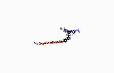 COCCOCCOCCOCCOCCOCCOCCOc1ccc(-c2ccnc(C(=O)Nc3cc(CN4CCC[C@H](N)C4)cc(-n4cnc(C)c4)c3)c2)cc1